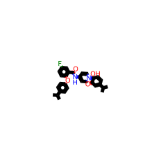 CC(C)C1=CC(=O)C(O)(N2C=CC(NC(=O)c3cc(F)ccc3Oc3ccc(C(C)C)cc3)=CC2)C=C1